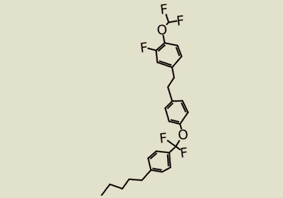 CCCCCc1ccc(C(F)(F)Oc2ccc(CCc3ccc(OC(F)F)c(F)c3)cc2)cc1